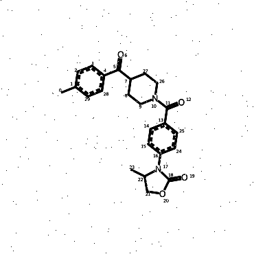 Cc1ccc(C(=O)C2CCN(C(=O)c3ccc(N4C(=O)OCC4C)cc3)CC2)cc1